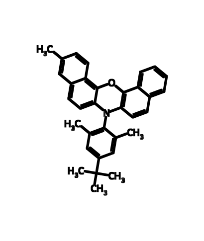 Cc1ccc2c3c(ccc2c1)N(c1c(C)cc(C(C)(C)C)cc1C)c1ccc2ccccc2c1O3